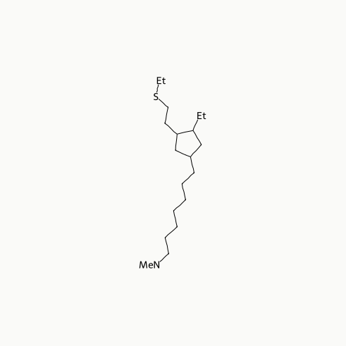 CCSCCC1CC(CCCCCCCNC)CC1CC